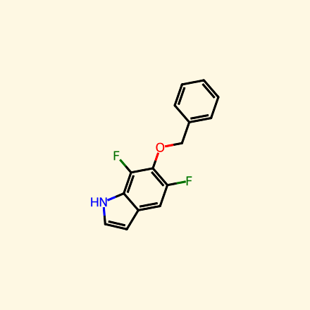 Fc1cc2cc[nH]c2c(F)c1OCc1ccccc1